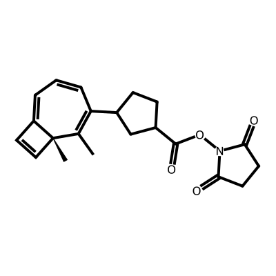 CC1=C(C2CCC(C(=O)ON3C(=O)CCC3=O)C2)C=CC=C2C=C[C@]21C